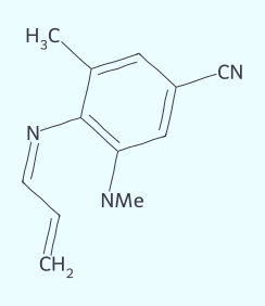 C=C/C=N\c1c(C)cc(C#N)cc1NC